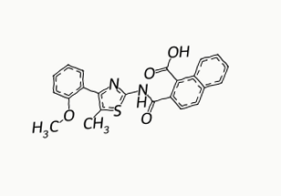 COc1ccccc1-c1nc(NC(=O)c2ccc3ccccc3c2C(=O)O)sc1C